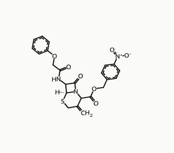 C=C1CS[C@H]2C(NC(=O)COc3ccccc3)C(=O)N2C1C(=O)OCc1ccc([N+](=O)[O-])cc1